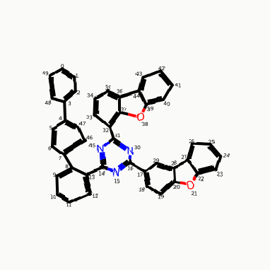 c1ccc(-c2ccc(-c3ccccc3-c3nc(-c4ccc5oc6ccccc6c5c4)nc(-c4cccc5c4oc4ccccc45)n3)cc2)cc1